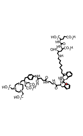 O=CC(CNCCCCCCCC(=O)N[C@@H](Cc1ccccc1)C(=O)N[C@@H](Cc1ccccc1)C(=O)NCCNC(=O)CCC(=O)Nc1ccc(CC(CN2CCN(CC(=O)O)CCN(CC(=O)O)CC2)N(CC(=O)O)CC(=O)O)cc1)CC(NC(=O)NC(CCC(=O)O)C(=O)O)C(=O)O